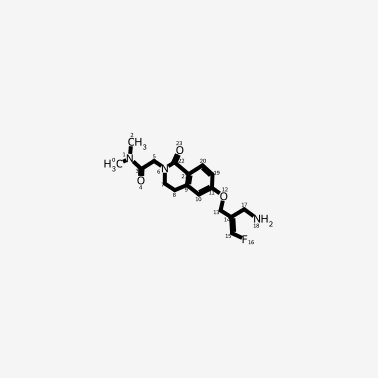 CN(C)C(=O)CN1CCc2cc(OC/C(=C/F)CN)ccc2C1=O